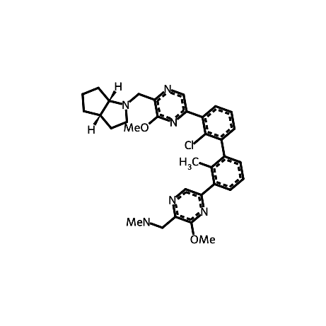 CNCc1ncc(-c2cccc(-c3cccc(-c4cnc(CN5CC[C@@H]6CCC[C@@H]65)c(OC)n4)c3Cl)c2C)nc1OC